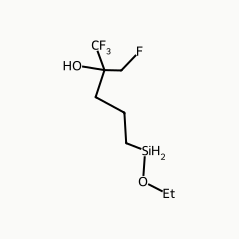 CCO[SiH2]CCCC(O)(CF)C(F)(F)F